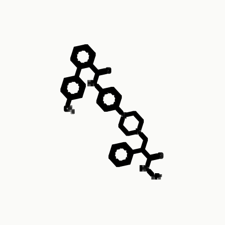 CCCNC(=O)C(CN1CCN(c2ccc(NC(=O)c3ccccc3-c3ccc(C(F)(F)F)cc3)cc2)CC1)c1ccccc1